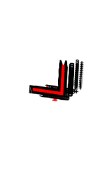 O.O.O.O.O.O.[Mg+2].[Mg+2].[Mg+2].[Mg+2].[Mg+2].[Mg+2].[Mg+2].[Mg+2].[Mg+2].[Mg+2].[Mg+2].[Mg+2].[Mg+2].[Mg+2].[Mg+2].[Mg+2].[Mg+2].[Mg+2].[Mg+2].[Mg+2].[Mg+2].[Mg+2].[Mg+2].[Mg+2].[Mg+2].[Mg+2].[Mg+2].[Mg+2].[Mg+2].[Mg+2].[Mg+2].[Mg+2].[Mg+2].[Mg+2].[Mg+2].[Mg+2].[Mg+2].[Mg+2].[Mg+2].[Mg+2].[Mg+2].[Mg+2].[Mg+2].[Mg+2].[Mg+2].[Mg+2].[Mg+2].[Mg+2].[Mg+2].[Mg+2].[Mg+2]